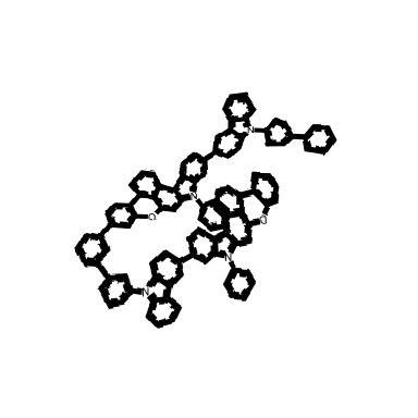 c1ccc(-c2ccc(-n3c4ccccc4c4cc(-c5ccc6c7c8cccc9c8c(cc7n(-c7ccccc7)c6c5)Oc5cc(-c6cccc(-c7cccc(-n8c%10ccccc%10c%10cc(-c%11ccc%12c%13c%14cccc%15c%14c(cc%13n(-c%13ccccc%13)c%12c%11)Oc%11ccccc%11-%15)ccc%108)c7)c6)ccc5-9)ccc43)cc2)cc1